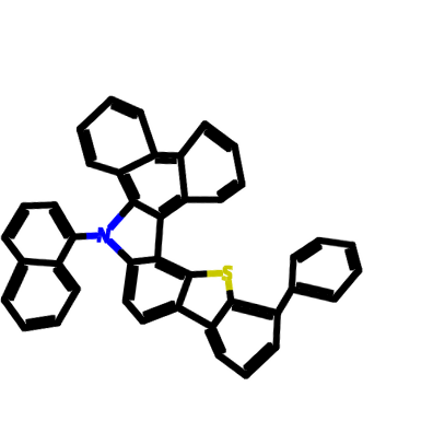 c1ccc(-c2cccc3c2sc2c3ccc3c2c2c4ccccc4c4ccccc4c2n3-c2cccc3ccccc23)cc1